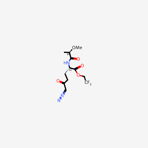 CO[C@H](C)C(=O)N[C@@H](CCC(=O)C=[N+]=[N-])C(=O)OCC(F)(F)F